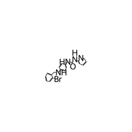 O=C(Nc1ccc(NCc2ccccc2Br)cc1)Nc1ccccn1